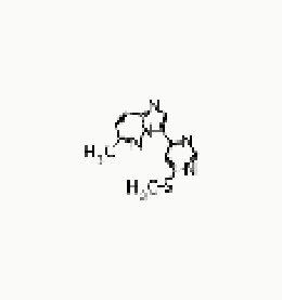 CSc1cc(-c2cnc3ccc(C)nn23)ncn1